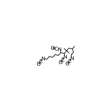 CC(CCN=C=O)CC(C)(C)C(N=C=O)C(CCCCCN=C=O)N=C=O